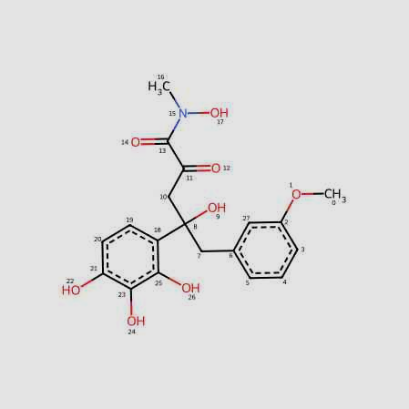 COc1cccc(CC(O)(CC(=O)C(=O)N(C)O)c2ccc(O)c(O)c2O)c1